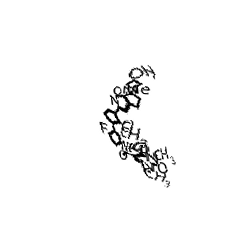 COc1nc(-c2cccc(-c3c(F)ccc(NC(=O)c4cn(C)c(=O)n(C)c4=O)c3C)c2Cl)cc2c1[C@H](N1CC(O)C1)CC2